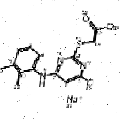 Cc1cccc(Nc2cc(Cl)nc(SCC(=O)[O-])n2)c1C.[Na+]